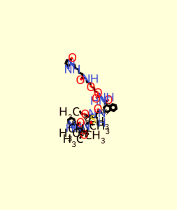 CCCO[C@H](C[C@H](C(C)C)N(CCC)C[C@@](C=O)(NC(=O)[C@H]1CCCCN1C)[C@@H](C)CC)c1nc(C(=O)N[C@H]2Cc3ccccc3[C@H](C(=O)NNC(=O)OCCOCCNC(=O)CCCCCN3C(=N)C=CC3=O)C2)cs1